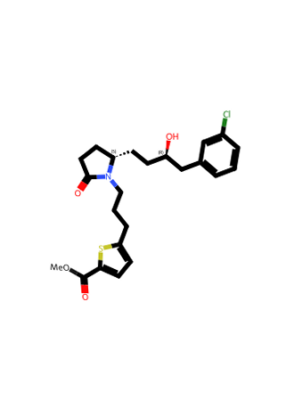 COC(=O)c1ccc(CCCN2C(=O)CC[C@@H]2CC[C@@H](O)Cc2cccc(Cl)c2)s1